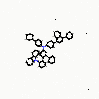 c1ccc(-c2ccc(N(c3ccc(-c4ccc(-c5ccccc5)c5ccccc45)cc3)c3ccc(-c4ccccc4-n4c5ccccc5c5ccccc54)c(-c4ccccc4)c3)cc2)cc1